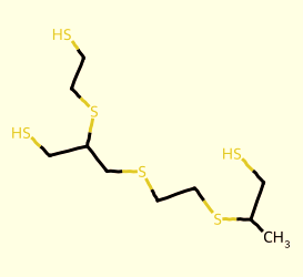 CC(CS)SCCSCC(CS)SCCS